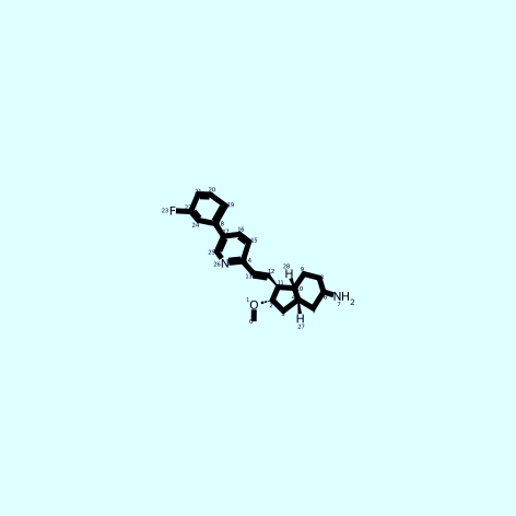 CO[C@H]1C[C@H]2CC(N)CC[C@H]2[C@@H]1/C=C/c1ccc(-c2cccc(F)c2)cn1